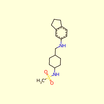 CS(=O)(=O)NC1CCC(CNc2ccc3c(c2)CCC3)CC1